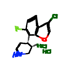 C[C@@H]1CNCC[C@@H]1c1c(F)ccc2c(Cl)coc12.Cl.Cl